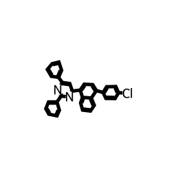 Clc1ccc(-c2ccc(-c3cc(-c4ccccc4)nc(-c4ccccc4)n3)c3ccccc23)cc1